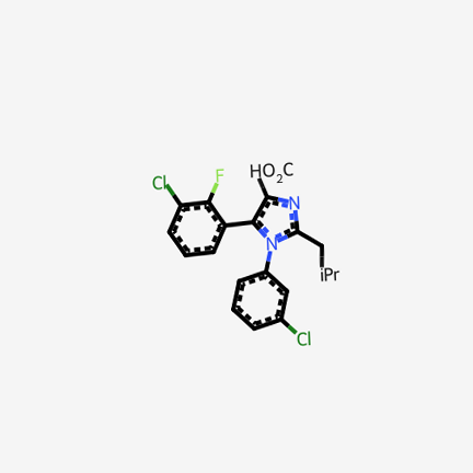 CC(C)Cc1nc(C(=O)O)c(-c2cccc(Cl)c2F)n1-c1cccc(Cl)c1